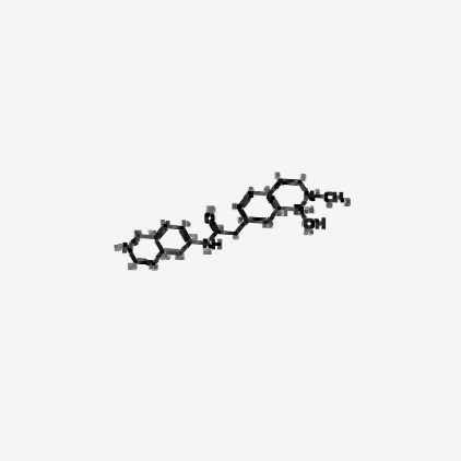 CN1C=Cc2ccc(CC(=O)Nc3ccc4cnccc4c3)cc2B1O